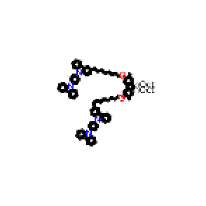 CCCCCCCCC1(CCCCCCCC)c2cc(C)c(OCCCCCCCCc3ccc4c(c3)c3ccccc3n4-c3ccc(-n4c5ccccc5c5ccccc54)cc3)cc2-c2cc(OCCCCCCCCc3ccc4c(c3)c3ccccc3n4-c3ccc(-n4c5ccccc5c5ccccc54)cc3)c(C)cc21